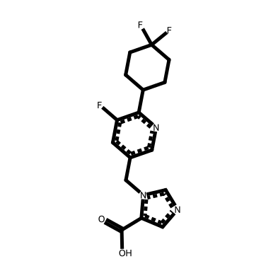 O=C(O)c1cncn1Cc1cnc(C2CCC(F)(F)CC2)c(F)c1